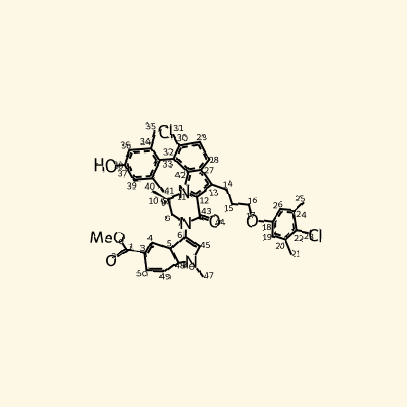 COC(=O)C1=CC2C(N3C[C@@H](C)n4c(c(CCCOc5cc(C)c(Cl)c(C)c5)c5ccc(Cl)c(-c6c(C)cc(O)cc6C)c54)C3=O)=CN(C)C2C=C1